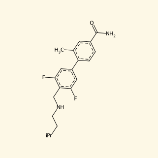 Cc1cc(C(N)=O)ccc1-c1cc(F)c(CNCCC(C)C)c(F)c1